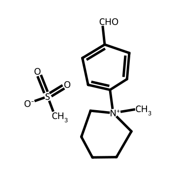 CS(=O)(=O)[O-].C[N+]1(c2ccc(C=O)cc2)CCCCC1